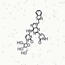 O=C1CN(c2nc(Nc3ccn(C4O[C@H](CO)[C@@H](O)[C@H]4O)c(=O)n3)c3ncn(Cc4nc5ccccc5s4)c3n2)CCN1